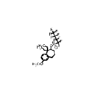 CCC1(CC)c2ccc(OC)cc2CCCC1OS(=O)(=O)C(F)(F)C(F)(F)C(F)(F)C(F)(F)F